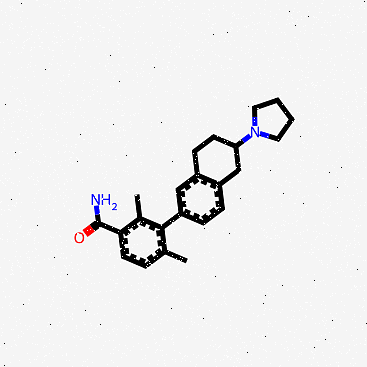 Cc1ccc(C(N)=O)c(C)c1-c1ccc2c(c1)CCC(N1CCCC1)C2